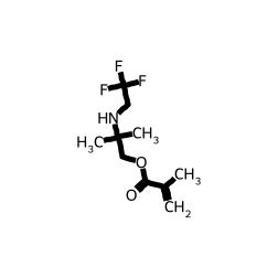 C=C(C)C(=O)OCC(C)(C)NCC(F)(F)F